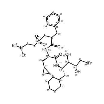 CCN(CC)CCS(=O)(=O)CC(Cc1ccccc1)C(=O)N[C@H](CC1CC1)C(=O)N[C@@H](CC1CCCCC1)[C@@H](O)[C@@H](O)CC(C)C